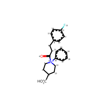 O=C(O)C1CC[N+](C(=O)CCc2ccc(F)cc2)(c2ccccc2)CC1